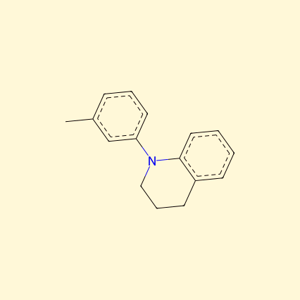 Cc1cccc(N2CCCc3ccccc32)c1